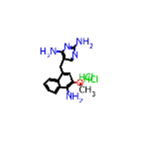 COc1cc(Cc2cnc(N)nc2N)c2ccccc2c1N.Cl.Cl